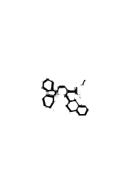 CCOc1nc2c(ccc3ccccc32)c2c1C=CC(c1ccccc1)(c1ccccc1)O2